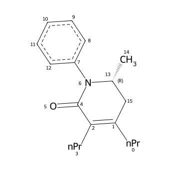 CCCC1=C(CCC)C(=O)N(c2ccccc2)[C@H](C)C1